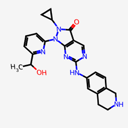 CC(O)c1cccc(-n2c3nc(Nc4ccc5c(c4)CCNC5)ncc3c(=O)n2C2CC2)n1